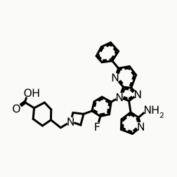 Nc1ncccc1-c1nc2ccc(-c3ccccc3)nc2n1-c1ccc(C2CN(CC3CCC(C(=O)O)CC3)C2)c(F)c1